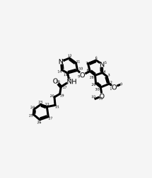 COc1cc2nccc(Oc3ccncc3NC(=O)CCCc3ccccc3)c2cc1OC